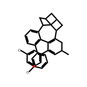 CC1C=C(c2cccc(Cl)c2)C2=C(C1)C1CC3CC4CC(c5cccc(-c6cccc(Cl)c6)c52)C341